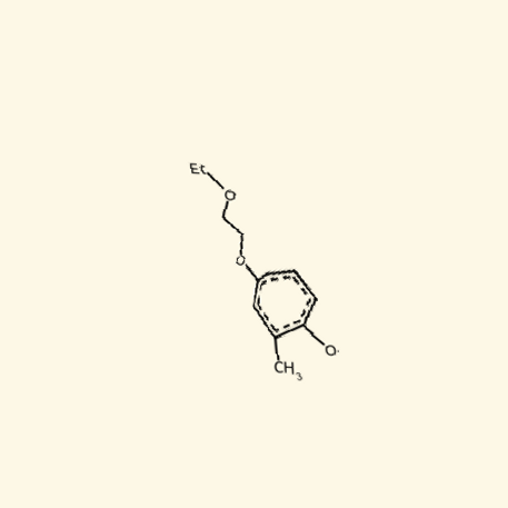 CCOCCOc1ccc([O])c(C)c1